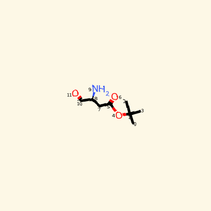 CC(C)(C)OC(=O)C[C@H](N)[C]=O